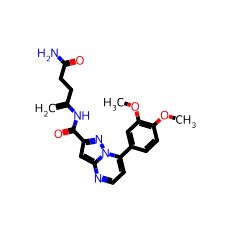 C=C(CCC(N)=O)NC(=O)c1cc2nccc(-c3ccc(OC)c(OC)c3)n2n1